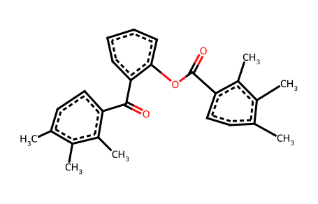 Cc1ccc(C(=O)Oc2ccccc2C(=O)c2ccc(C)c(C)c2C)c(C)c1C